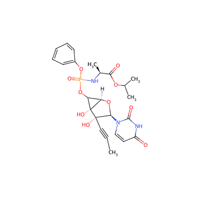 CC#C[C@]1(O)[C@H](n2ccc(=O)[nH]c2=O)O[C@@H]2C(OP(=O)(N[C@@H](C)C(=O)OC(C)C)Oc3ccccc3)[C@@]21O